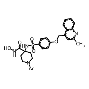 CC(=O)N1CCC(NS(=O)(=O)c2ccc(OCc3cc(C)nc4ccccc34)cc2)(C(=O)NO)CC1